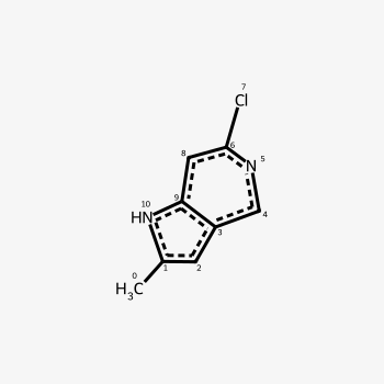 Cc1cc2cnc(Cl)cc2[nH]1